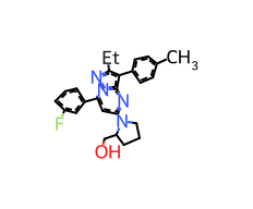 CCc1nn2c(-c3cccc(F)c3)cc(N3CCCC3CO)nc2c1-c1ccc(C)cc1